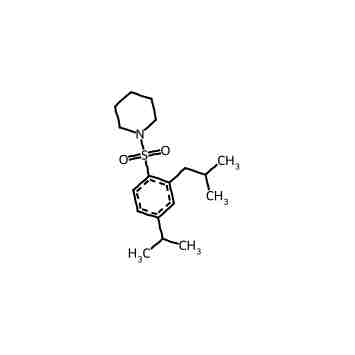 CC(C)Cc1cc(C(C)C)ccc1S(=O)(=O)N1CCCCC1